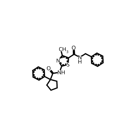 Cc1nc(NC(=O)C2(c3ccccc3)CCCC2)sc1C(=O)NCc1ccccc1